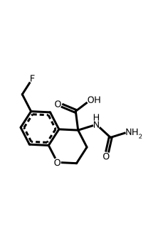 NC(=O)NC1(C(=O)O)CCOc2ccc(CF)cc21